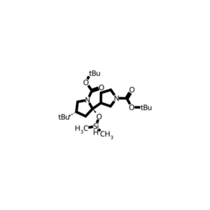 C[SiH](C)O[C@]1(C2CCN(C(=O)OC(C)(C)C)C2)C[C@H](C(C)(C)C)CN1C(=O)OC(C)(C)C